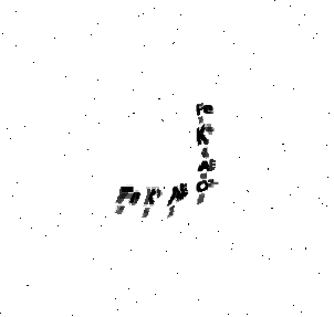 [Al].[Al].[Fe].[Fe].[K+].[K+].[O-2]